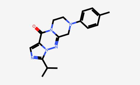 Cc1ccc(N2CCn3c(nn4c(C(C)C)ncc4c3=O)C2)cc1